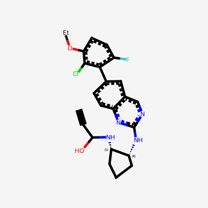 C#CC(O)N[C@H]1CCC[C@H]1Nc1ncc2cc(-c3c(F)ccc(OCC)c3Cl)ccc2n1